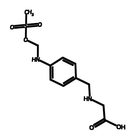 CS(=O)(=O)OCNc1ccc(CNCC(=O)O)cc1